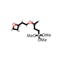 CO[Si](CCC(C)OCCC1CCO1)(OC)OC